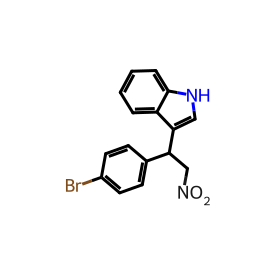 O=[N+]([O-])CC(c1ccc(Br)cc1)c1c[nH]c2ccccc12